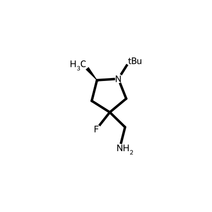 C[C@@H]1CC(F)(CN)CN1C(C)(C)C